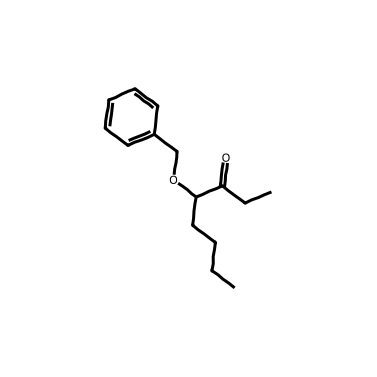 CCCCC(OCc1ccccc1)C(=O)CC